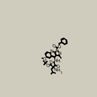 COc1ccc2nc3c(c(C)nn3C(=O)OCc3ccccc3)c(NCC(=O)C(N)(CC(C)C)C(=O)OC(C)(C)C)c2c1